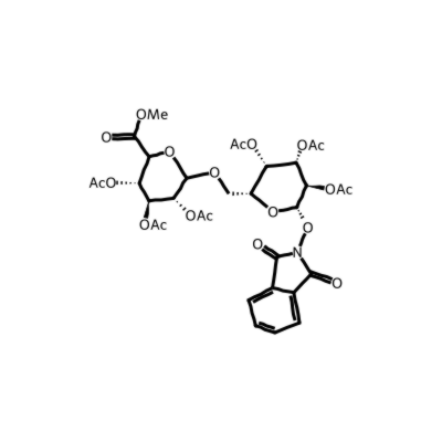 COC(=O)C1OC(OC[C@H]2O[C@@H](ON3C(=O)c4ccccc4C3=O)[C@H](OC(C)=O)[C@@H](OC(C)=O)[C@H]2OC(C)=O)[C@H](OC(C)=O)[C@@H](OC(C)=O)[C@@H]1OC(C)=O